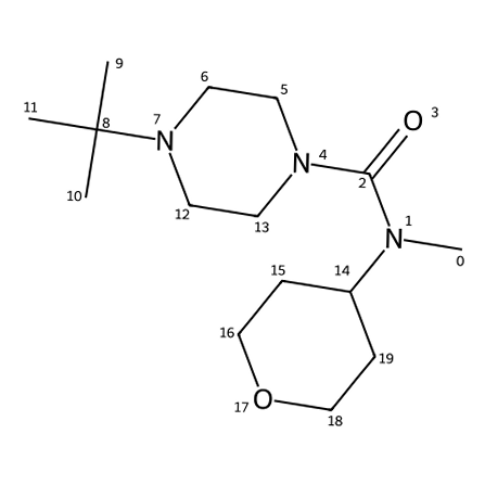 CN(C(=O)N1CCN(C(C)(C)C)CC1)C1CCOCC1